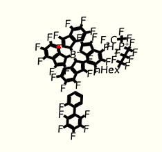 CCCCCCC(F)(F)C(F)(F)C(F)(F)[PH2+]C(F)(F)C(F)(F)F.FC1=C(F)C([B-](C2C(F)=C(F)c3c2cc(F)c(F)c3F)(C2C(F)=C(F)c3c2cc(F)c(F)c3F)C2C(F)=C(F)c3c2cc(F)c(F)c3F)c2cc(F)c(F)c(F)c21.Fc1ccccc1-c1c(F)c(F)c(F)c(F)c1F